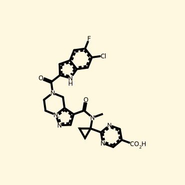 CN(C(=O)c1cnn2c1CN(C(=O)c1cc3cc(F)c(Cl)cc3[nH]1)CC2)C1(c2ncc(C(=O)O)cn2)CC1